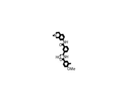 COc1ccc(C(=O)N[C@H](CO)c2cccc(C(=O)Nc3ccc4c(c3)CN(C)CC4)c2)cc1C